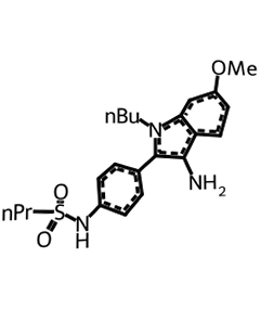 CCCCn1c(-c2ccc(NS(=O)(=O)CCC)cc2)c(N)c2ccc(OC)cc21